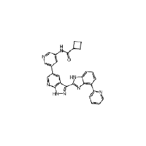 O=C(Nc1cncc(-c2cnc3[nH]nc(-c4nc5c(-c6ccccn6)cccc5[nH]4)c3c2)c1)C1CCC1